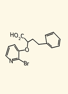 O=C(O)C(CCc1ccccc1)Oc1cccnc1Br